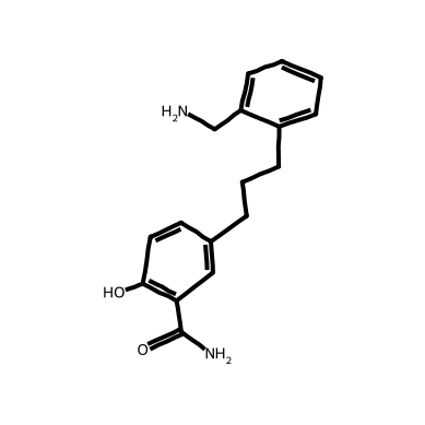 NCc1ccccc1CCCc1ccc(O)c(C(N)=O)c1